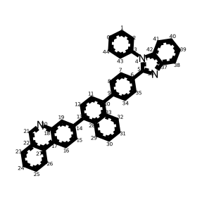 c1ccc(-n2c(-c3ccc(-c4ccc(-c5ccc6c(c5)ncc5ccccc56)c5ccccc45)cc3)nc3ccccc32)cc1